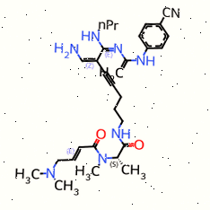 C=C(/N=C(NCCC)\C(C#CCCCNC(=O)[C@H](C)N(C)C(=O)/C=C/CN(C)C)=C/N)Nc1ccc(C#N)cc1